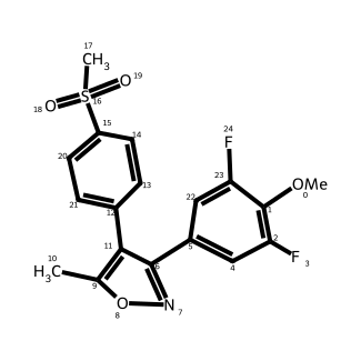 COc1c(F)cc(-c2noc(C)c2-c2ccc(S(C)(=O)=O)cc2)cc1F